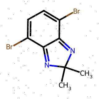 CC1(C)N=c2c(Br)ccc(Br)c2=N1